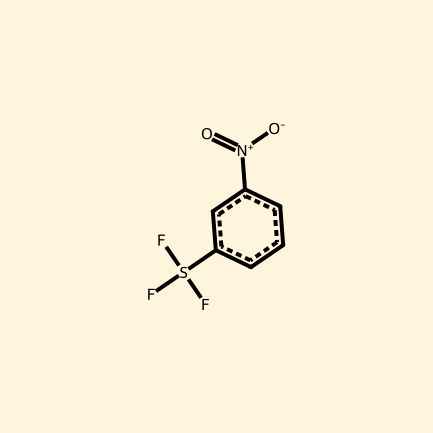 O=[N+]([O-])c1cccc(S(F)(F)F)c1